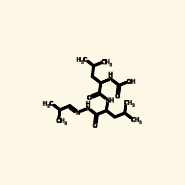 CC(C)C=NNC(=O)C(CC(C)C)NC(=O)C(CC(C)C)NC(=O)O